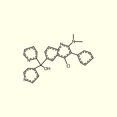 CN(C)c1nc2ccc(C(O)(c3ccncc3)c3ccccn3)cc2c(Cl)c1-c1ccccc1